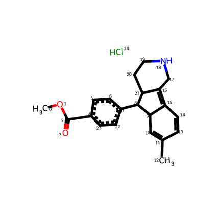 COC(=O)c1ccc(C2C3C=C(C)C=CC3=C3CNCCC32)cc1.Cl